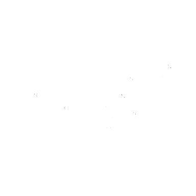 CNCC(O)COc1cccc(-c2nc(NC3CCOC3=O)cc(C3=C(C)CN=C3C)n2)c1